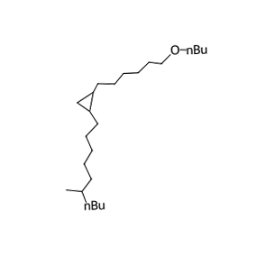 CCCCOCCCCCCC1CC1CCCCCC(C)CCCC